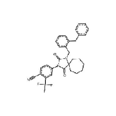 N#Cc1ccc(N2C(=O)N(Cc3ccccc3Cc3ccccc3)C3(CCCCCC3)C2=O)cc1C(F)(F)F